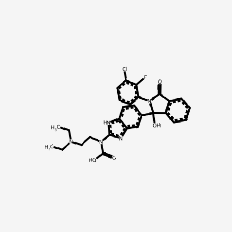 CCN(CC)CCN(C(=O)O)c1nc2cc(C3(O)c4ccccc4C(=O)N3c3cccc(Cl)c3F)ccc2[nH]1